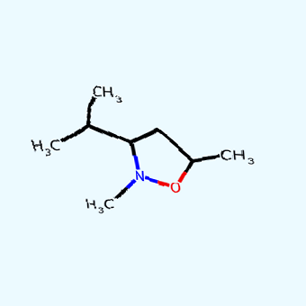 CC1CC(C(C)C)N(C)O1